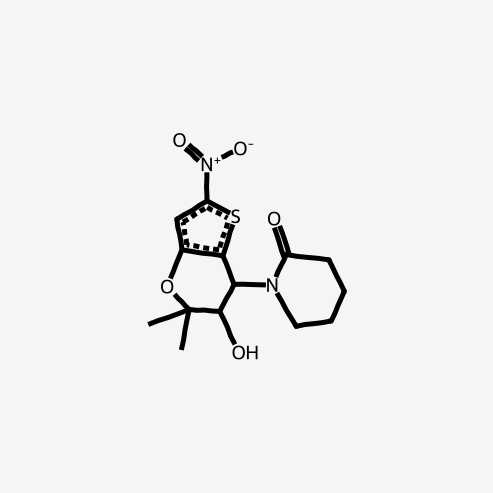 CC1(C)Oc2cc([N+](=O)[O-])sc2C(N2CCCCC2=O)C1O